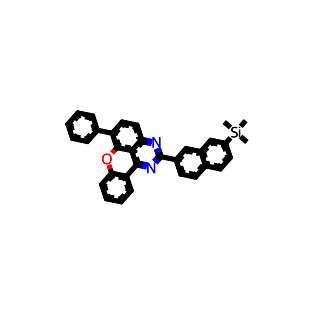 C[Si](C)(C)c1ccc2ccc(-c3nc4c5c(c(-c6ccccc6)ccc5n3)Oc3ccccc3-4)cc2c1